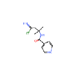 CC(C)(CC(=N)Cl)NC(=O)c1ccncc1